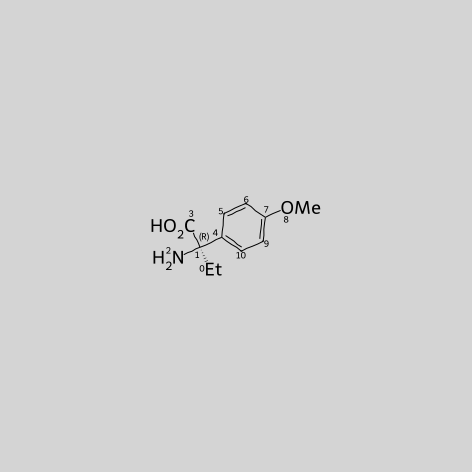 CC[C@](N)(C(=O)O)c1ccc(OC)cc1